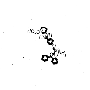 N=C(NC1CCCN(C(=O)O)C1)c1ccc(OCC(ON)C(=O)OC(c2ccccc2)c2ccccc2)cc1